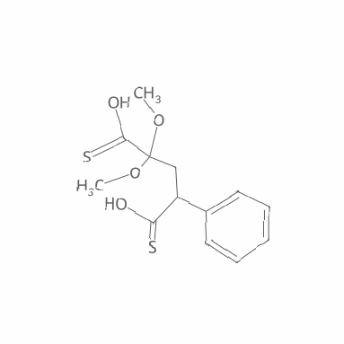 COC(CC(C(O)=S)c1ccccc1)(OC)C(O)=S